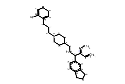 C=C/C(=N\C)C(NCC1CCN(CCCC2=CCCC=C2F)CC1)c1ccc2c(c1)CCC2